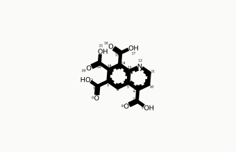 O=C(O)c1cc2c(C(=O)O)ccnc2c(C(=O)O)c1C(=O)O